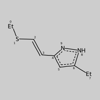 CCSC=Cc1cc(CC)[nH]n1